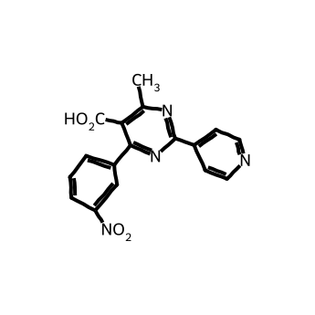 Cc1nc(-c2ccncc2)nc(-c2cccc([N+](=O)[O-])c2)c1C(=O)O